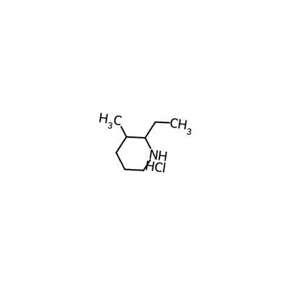 CCC1NCCCC1C.Cl